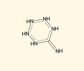 N=c1[nH][nH][nH][nH][nH]1